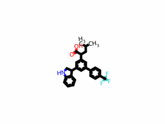 CC(C)CC(C(=O)O)c1cc(-c2ccc(C(F)(F)F)cc2)cc(C2CNc3ccccc32)c1